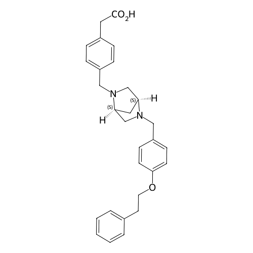 O=C(O)Cc1ccc(CN2C[C@@H]3C[C@H]2CN3Cc2ccc(OCCc3ccccc3)cc2)cc1